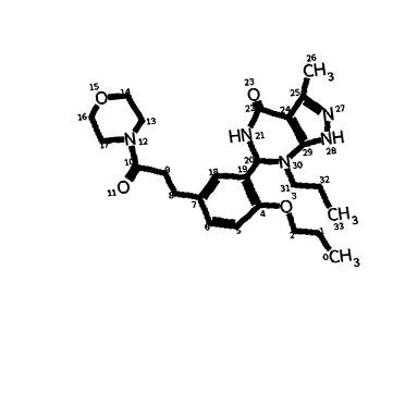 CCCOc1ccc(CCC(=O)N2CCOCC2)cc1C1NC(=O)c2c(C)n[nH]c2N1CCC